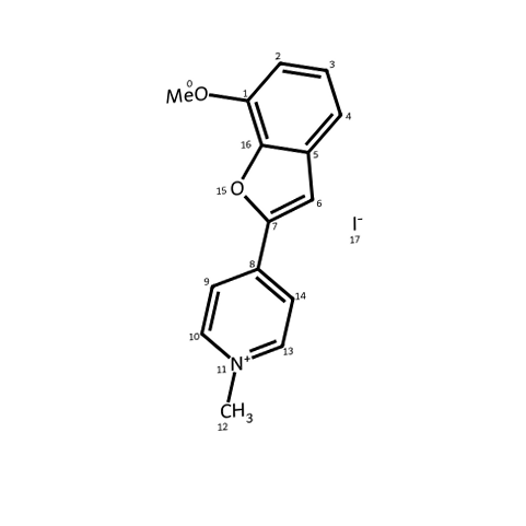 COc1cccc2cc(-c3cc[n+](C)cc3)oc12.[I-]